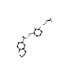 O=C(NCc1cccc(OCC=C(Cl)Cl)c1F)c1ccc2ncccc2c1